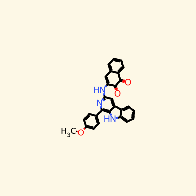 COc1ccc(-c2nc(NC3=Cc4ccccc4C(=O)C3=O)cc3c2[nH]c2ccccc23)cc1